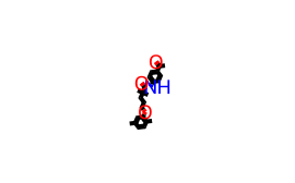 CC(=O)c1ccc(NC(=O)C(C)(C)CCCOc2cc(C)ccc2C)cc1